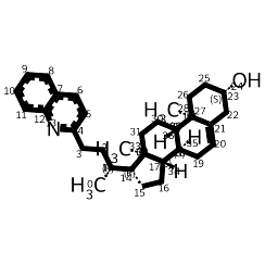 C[C@H](CCc1ccc2ccccc2n1)[C@H]1CC[C@H]2[C@@H]3CC=C4C[C@@H](O)CC[C@]4(C)[C@H]3CC[C@]12C